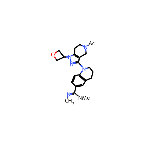 C/N=C(\NC)c1ccc2c(c1)CCCN2c1nn(C2COC2)c2c1CN(C(C)=O)CC2